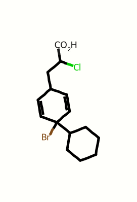 O=C(O)C(Cl)CC1C=CC(Br)(C2CCCCC2)C=C1